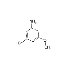 COC1=CC(Br)=CC(N)C1